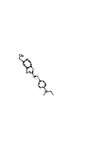 CCN(C)c1ccc(/N=N/c2nc3ccc(CO)cc3s2)cc1